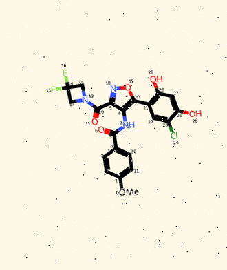 COc1ccc(C(=O)Nc2c(C(=O)N3CC(F)(F)C3)noc2-c2cc(Cl)c(O)cc2O)cc1